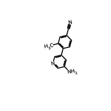 Cc1cc(C#N)ccc1-c1cncc(N)c1